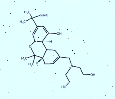 CCCCCCC(C)(C)C1=CC2OC(C)(C)[C@H]3CC=C(CN(CCO)CCO)CC3[C@@H]2C(O)=C1